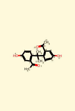 CC(=O)c1cc(O)ccc1C(C)(C)c1ccc(O)cc1C(C)=O